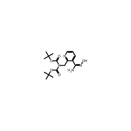 CC(C)(C)OC(=O)N(Cc1ncccc1/C(N)=N\O)C(=O)OC(C)(C)C